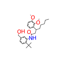 CCCCCC(CC(=O)Nc1cc(CO)ccc1C(C)(C)C)c1cccc(OC)c1OC